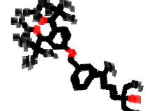 CCC(O)(/C=C/C=C(\C)c1cccc(COc2ccc(C(O[SiH](C)C)C(C)(C)C)c(C(O[SiH](C)C)C(C)(C)C)c2)c1)CC